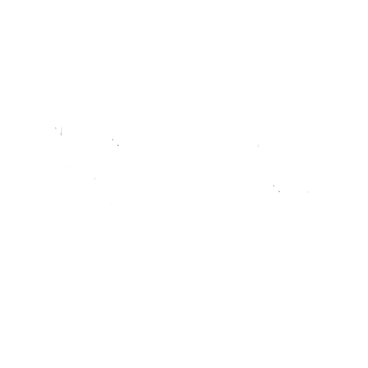 Cc1noc(SCOc2cccc([N+](=O)[O-])c2)n1